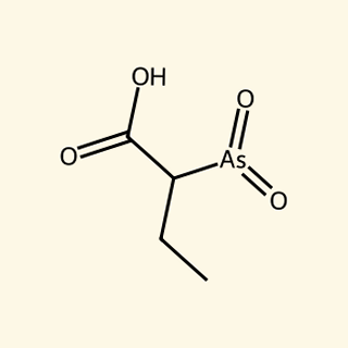 CCC(C(=O)O)[As](=O)=O